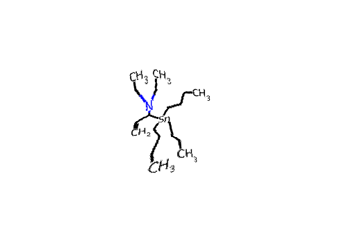 C=C[CH](N(CC)CC)[Sn]([CH2]CCC)([CH2]CCC)[CH2]CCC